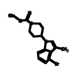 Cc1cn(C2CCN(C(=O)OC(C)(C)C)CC2)c2cccc(Br)c12